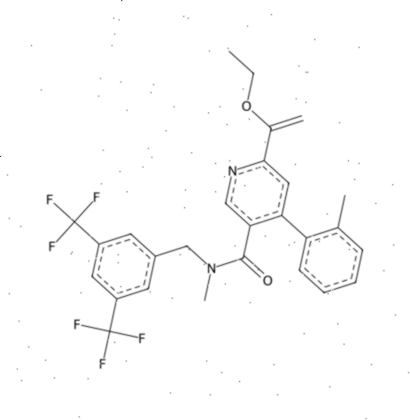 C=C(OCC)c1cc(-c2ccccc2C)c(C(=O)N(C)Cc2cc(C(F)(F)F)cc(C(F)(F)F)c2)cn1